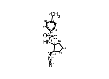 Cc1ccc(S(=O)(=O)NC2CCCC2N=[N+]=[N-])cc1